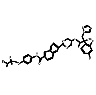 CC(SC1COC(c2ccc3cc(C(=O)Nc4ccc(OCC(F)(F)C(F)F)cc4)ccc3c2)OC1)C(O)(Cn1cncn1)c1ccc(F)cc1F